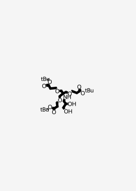 CC(C)(C)OC(=O)CCOCC(COCCC(=O)OC(C)(C)C)(COCCC(=O)OC(C)(C)C)NCC(O)CO